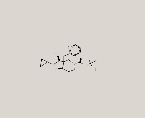 CC(C)(C)OC(=O)N1CCC2=NN(C3CC3)C(=O)C2(Cc2ccccn2)C1